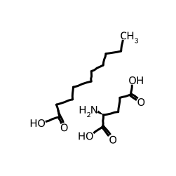 CCCCCCCCCC(=O)O.N[C@@H](CCC(=O)O)C(=O)O